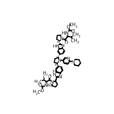 COC(=O)N[C@H](C(=O)N1CCCC1c1nc2ccc([C@H]3CC[C@H](c4ccc5nc([C@@H]6CCCN6C(=O)[C@@H](NC(=O)OC)C(C)C)[nH]c5c4)N3c3ccc(N4CCCCC4)nc3)cc2[nH]1)C(C)C